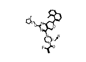 C=C(F)C(=O)N1CCN(c2nc(OC[C@H]3CCCN3C)nc3c2COC(c2cccc4cccc(C)c24)C3)C[C@@H]1CC#N